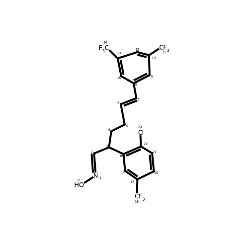 ON=CC(CCC=Cc1cc(C(F)(F)F)cc(C(F)(F)F)c1)c1cc(C(F)(F)F)ccc1Cl